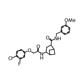 COc1cccc(CNC(=O)C2CC(NC(=O)COc3ccc(Cl)c(F)c3)C3CC2C3)c1